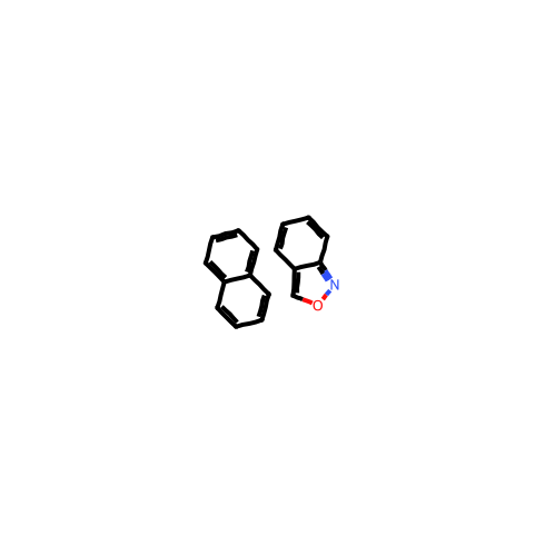 c1ccc2ccccc2c1.c1ccc2nocc2c1